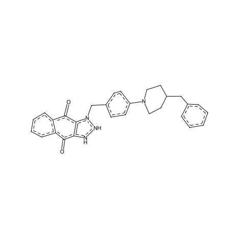 O=c1c2[nH][nH]n(Cc3ccc(N4CCC(Cc5ccccc5)CC4)cc3)c=2c(=O)c2ccccc12